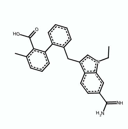 CCn1cc(Cc2ccccc2-c2cccc(C)c2C(=O)O)c2ccc(C(=N)N)cc21